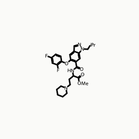 COC(=O)C(CCN1CCCCC1)NC(=O)c1cc2c(cnn2CC(C)C)cc1Oc1ccc(F)cc1F